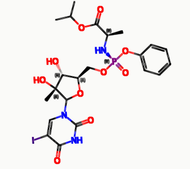 CC(C)OC(=O)[C@@H](C)N[P@@](=O)(OC[C@H]1OC(n2cc(I)c(=O)[nH]c2=O)[C@](C)(O)[C@@H]1O)Oc1ccccc1